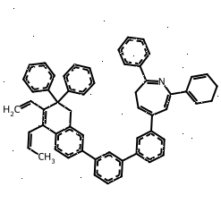 C=CC1=C(/C=C\C)c2ccc(-c3cccc(-c4cccc(C5=CCC(c6ccccc6)=NC(C6=CCCC=C6)=C5)c4)c3)cc2CC1(c1ccccc1)c1ccccc1